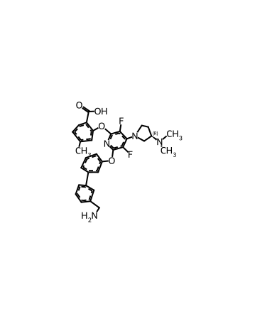 Cc1ccc(C(=O)O)c(Oc2nc(Oc3cccc(-c4cccc(CN)c4)c3)c(F)c(N3CC[C@@H](N(C)C)C3)c2F)c1